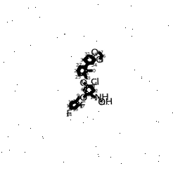 Cc1c(COc2cc(OCc3ccc(F)cc3F)c(CNO)cc2Cl)cccc1-c1ccc2c(c1)OCCO2